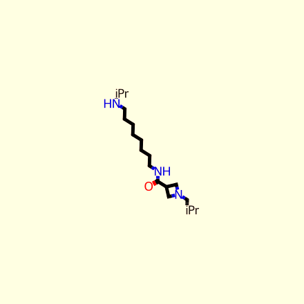 CC(C)CN1CC(C(=O)NCCCCCCCCNC(C)C)C1